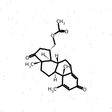 CC(=O)OC[C@H]1CC(=O)[C@@]2(C)CC[C@H]3[C@@H](CCC4=CC(=O)C=C(C)[C@@]43C)[C@H]12